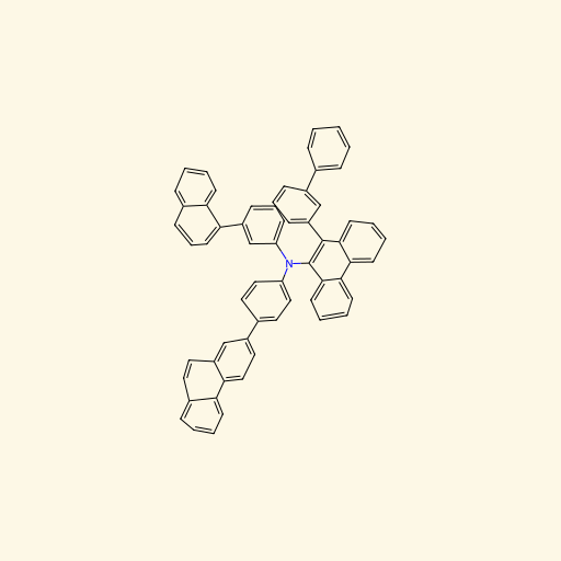 c1ccc(-c2cccc(-c3c(N(c4ccc(-c5ccc6c(ccc7ccccc76)c5)cc4)c4cccc(-c5cccc6ccccc56)c4)c4ccccc4c4ccccc34)c2)cc1